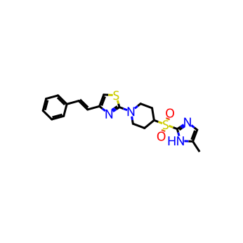 Cc1cnc(S(=O)(=O)C2CCN(c3nc(C=Cc4ccccc4)cs3)CC2)[nH]1